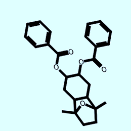 CC12CCC(C)(O1)C1CC(OC(=O)c3ccccc3)C(OC(=O)c3ccccc3)CC12